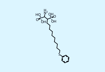 NC(C(CCCCCCCCCCSc1ccccc1)P(=O)(O)O)P(=O)(O)O